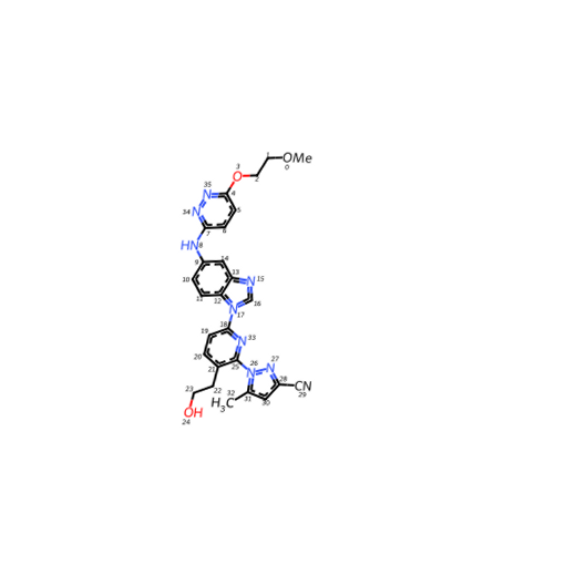 COCCOc1ccc(Nc2ccc3c(c2)ncn3-c2ccc(CCO)c(-n3nc(C#N)cc3C)n2)nn1